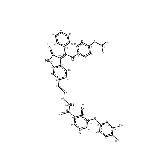 CN(C)Cc1ccc(NC(=C2C(=O)Nc3cc(/C=C/CNC(=O)c4cncn(Cc5ccc(F)c(F)c5)c4=O)ccc32)c2ccccc2)cc1